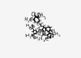 COC(=O)c1cc(NC(=O)c2[nH]c3c(-c4c(C)nn(C)c4C)c(Cl)ccc3c2CCCOc2cc(C)c(Cl)c(C)c2)cc(N(C)C)c1